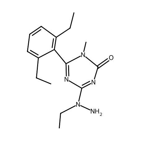 CCc1cccc(CC)c1-c1nc(N(N)CC)nc(=O)n1C